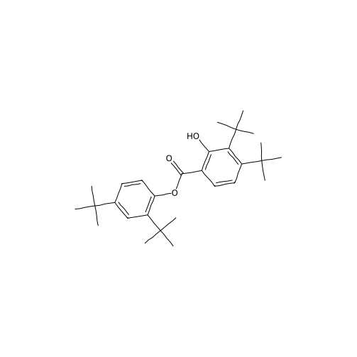 CC(C)(C)c1ccc(OC(=O)c2ccc(C(C)(C)C)c(C(C)(C)C)c2O)c(C(C)(C)C)c1